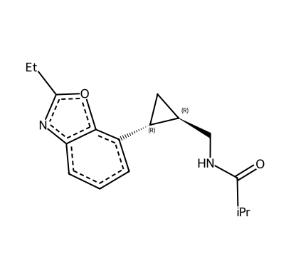 CCc1nc2cccc([C@@H]3C[C@H]3CNC(=O)C(C)C)c2o1